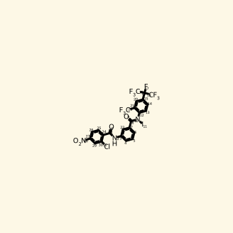 O=C(Nc1cccc(C(=O)N(I)c2ccc(C(F)(C(F)(F)F)C(F)(F)F)cc2C(F)(F)F)c1)c1ccc([N+](=O)[O-])cc1Cl